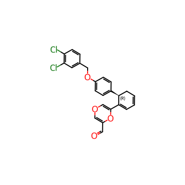 O=CC1=COC=C(C2=CC=CC[C@@H]2c2ccc(OCc3ccc(Cl)c(Cl)c3)cc2)O1